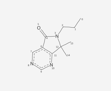 CCCN1C(=O)c2cncnc2C1(C)C